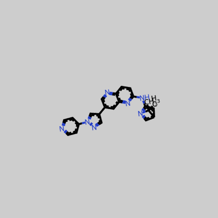 CC1(C)c2cc(Nc3ccc4ncc(-c5cnn(-c6ccncc6)c5)cc4n3)n1c2